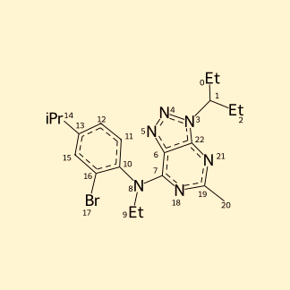 CCC(CC)n1nnc2c(N(CC)c3ccc(C(C)C)cc3Br)nc(C)nc21